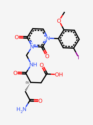 COc1ccc(I)cc1-n1ccc(=O)n(CNC(=O)[C@@H](CC(N)=O)CC(=O)O)c1=O